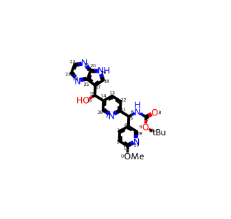 COc1ccc(C(NC(=O)OC(C)(C)C)c2ccc(C(O)c3c[nH]c4nccnc34)cn2)cn1